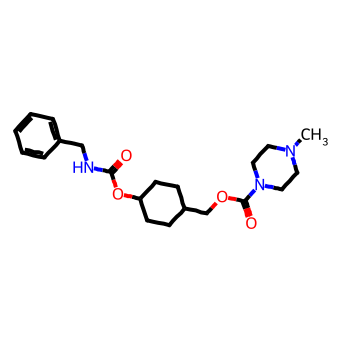 CN1CCN(C(=O)OCC2CCC(OC(=O)NCc3ccccc3)CC2)CC1